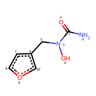 NC(=O)N(O)Cc1ccoc1